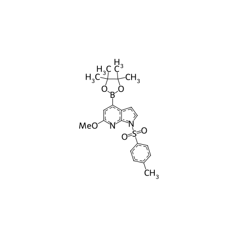 COc1cc(B2OC(C)(C)C(C)(C)O2)c2ccn(S(=O)(=O)c3ccc(C)cc3)c2n1